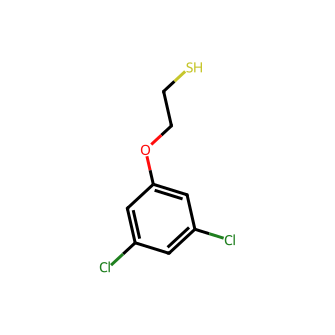 SCCOc1cc(Cl)cc(Cl)c1